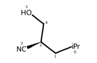 CC(C)C[C@@H](C#N)CO